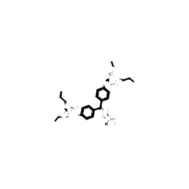 CCCSP(=O)(OCC)Oc1ccc(C(=NO)c2ccc(OP(=O)(OCC)SCCC)cc2)cc1.COC